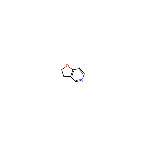 [c]1cncc2c1OCC2